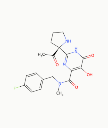 CC(=O)[C@@]1(c2nc(C(=O)N(C)Cc3ccc(F)cc3)c(O)c(=O)[nH]2)CCCN1